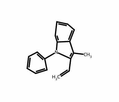 C=Cc1c(C)c2ccccc2n1-c1ccccc1